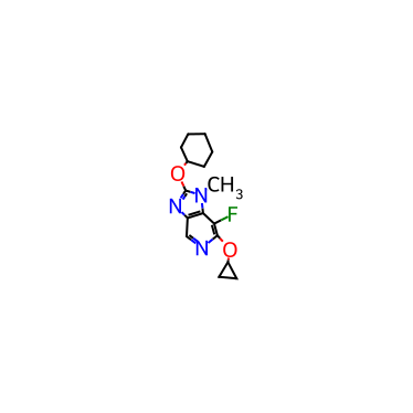 Cn1c(OC2CCCCC2)nc2cnc(OC3CC3)c(F)c21